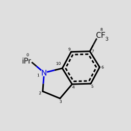 CC(C)N1CCc2ccc(C(F)(F)F)cc21